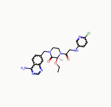 CCO[C@@]1(C)C(=O)N(Cc2ccc3c(N)ncnc3c2)CCN1C(=O)CNc1ccc(Cl)nc1